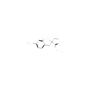 CC(C)(C)OC(=O)C(N)(CF)Cc1ccc(O)cc1